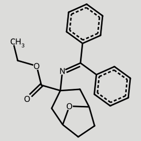 CCOC(=O)C1(N=C(c2ccccc2)c2ccccc2)CC2CCC(C1)O2